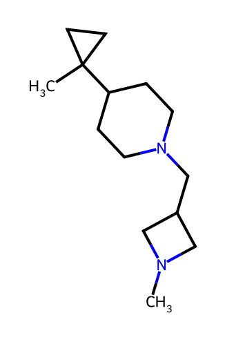 CN1CC(CN2CCC(C3(C)CC3)CC2)C1